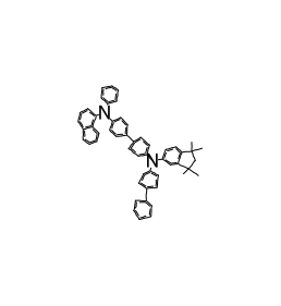 CC1(C)CC(C)(C)c2cc(N(c3ccc(-c4ccccc4)cc3)c3ccc(-c4ccc(N(c5ccccc5)c5cccc6ccccc56)cc4)cc3)ccc21